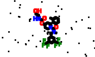 Cc1ccccc1[C@H]1C[C@@H](OC(=O)NCCO)CCN1C(=O)N(C)[C@@H](C)c1cc(C(F)(F)F)cc(C(F)(F)F)c1